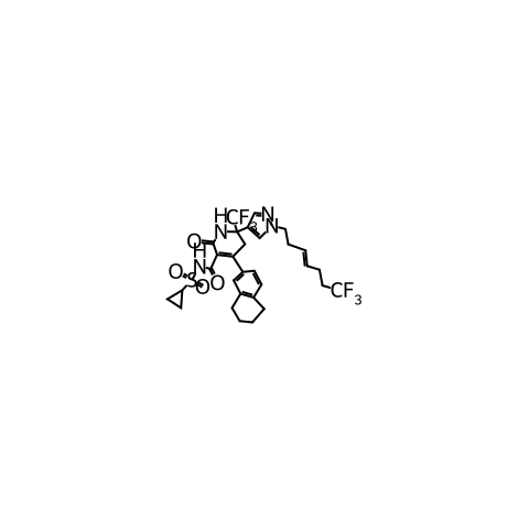 O=C1NC(c2cnn(CCC=CCCC(F)(F)F)c2)(C(F)(F)F)CC(c2ccc3c(c2)CCCC3)=C1C(=O)NS(=O)(=O)C1CC1